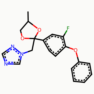 CC1COC(Cn2cncn2)(c2ccc(Oc3ccccc3)c(F)c2)O1